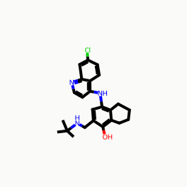 CC(C)(C)NCc1cc(Nc2ccnc3cc(Cl)ccc23)c2c(c1O)CCCC2